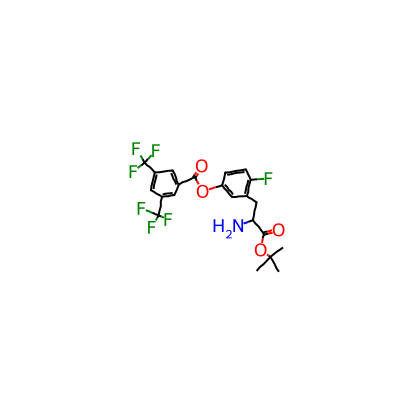 CC(C)(C)OC(=O)C(N)Cc1cc(OC(=O)c2cc(C(F)(F)F)cc(C(F)(F)F)c2)ccc1F